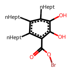 CCCCCCCc1c(O)c(O)c(C(=O)OBr)c(CCCCCCC)c1CCCCCCC